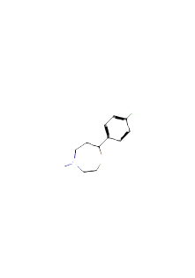 CCN1CCSC(c2ccc(Cl)cc2)CC1